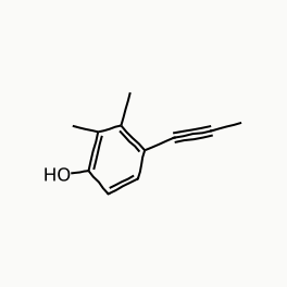 CC#Cc1ccc(O)c(C)c1C